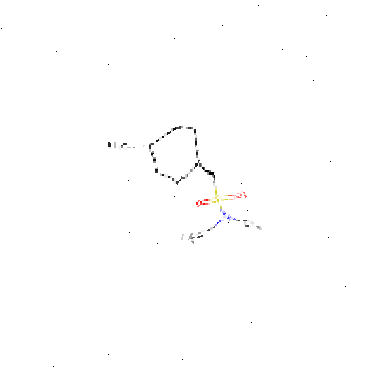 CN(C)S(=O)(=O)C[C@H]1CC[C@H](C)CC1